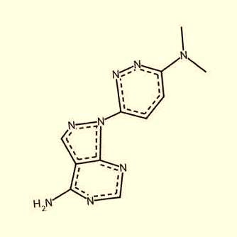 CN(C)c1ccc(-n2ncc3c(N)ncnc32)nn1